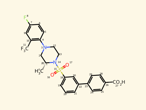 C[C@@H]1CN(c2ccc(F)cc2C(F)(F)F)CCN1S(=O)(=O)c1cccc(-c2ccc(C(=O)O)cc2)c1